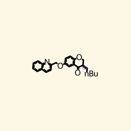 CCCC/C=C1/COc2ccc(OCc3ccc4ccccc4n3)cc2C1=O